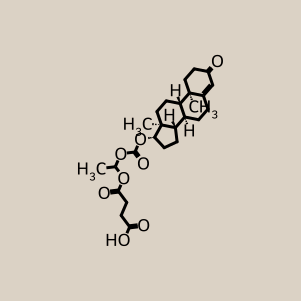 CC(OC(=O)CCC(=O)O)OC(=O)O[C@H]1CC[C@H]2[C@@H]3CCC4=CC(=O)CC[C@]4(C)[C@H]3CC[C@]12C